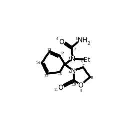 CCN(C(N)=O)C1(N2CCOC2=O)C=CC=CC1